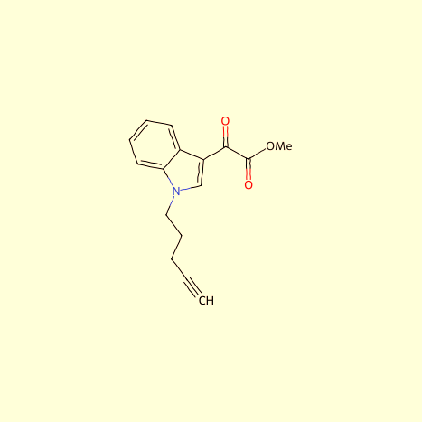 C#CCCCn1cc(C(=O)C(=O)OC)c2ccccc21